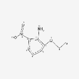 CCOc1cccc([N+](=O)[O-])c1N